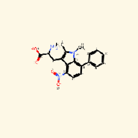 Cc1c(CC(N)C(=O)O)c2c([N+](=O)[O-])ccc(-c3ccccc3)c2n1C